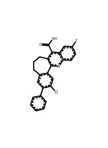 O=C(O)c1c2c(nc3ccc(F)cc13)-c1cc(Cl)c(-c3ccccc3)cc1CCC2